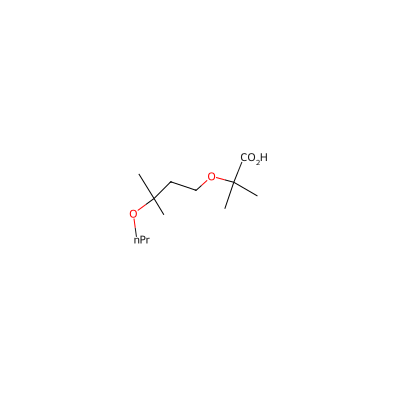 CCCOC(C)(C)CCOC(C)(C)C(=O)O